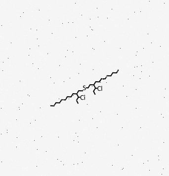 CCCCCCCCCC(CCSCCC(CCCCCCCCC)C(Cl)CC)C(Cl)CC